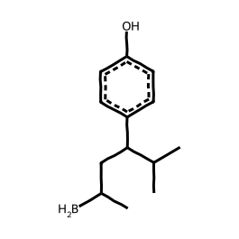 BC(C)CC(c1ccc(O)cc1)C(C)C